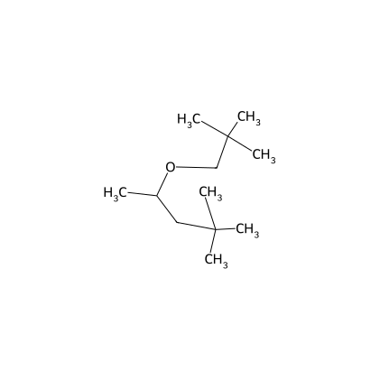 CC(CC(C)(C)C)OCC(C)(C)C